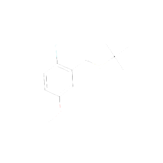 COc1ccc(F)c(CSC(C)(C)C)c1